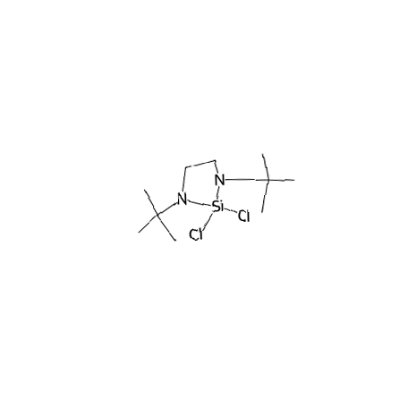 CC(C)(C)N1CCN(C(C)(C)C)[Si]1(Cl)Cl